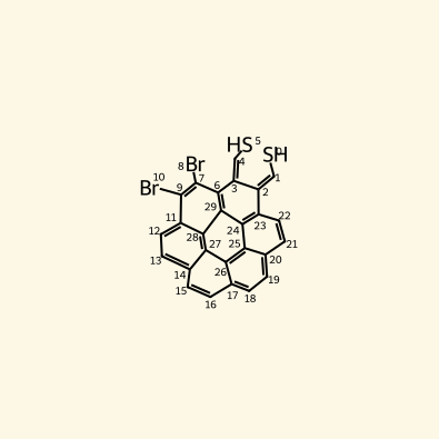 SC=c1c(=CS)c2c(Br)c(Br)c3ccc4ccc5ccc6ccc1c1c6c5c4c3c21